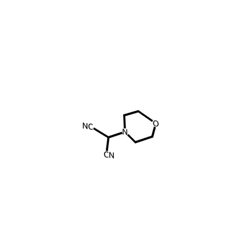 N#CC(C#N)N1CCOCC1